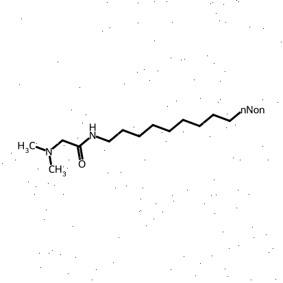 CCCCCCCCCCCCCCCCCCNC(=O)CN(C)C